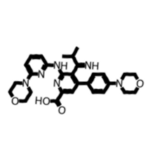 CC(C)C(=N)c1c(-c2ccc(N3CCOCC3)cc2)cc(C(=O)O)nc1Nc1cccc(N2CCOCC2)n1